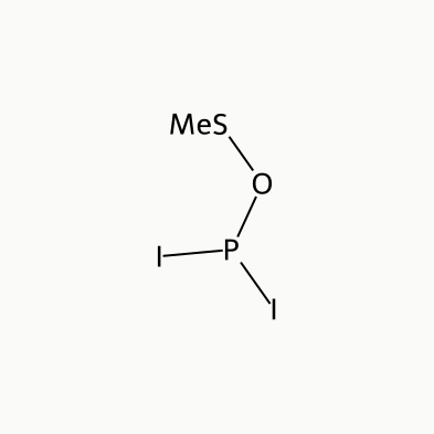 CSOP(I)I